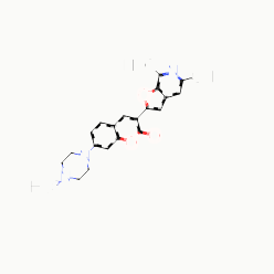 Cc1cc2cc(-c3cc4ccc(N5CCN(C)CC5)cc4oc3=O)oc2c(C)n1